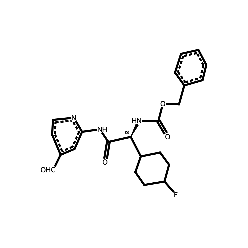 O=Cc1ccnc(NC(=O)[C@@H](NC(=O)OCc2ccccc2)C2CCC(F)CC2)c1